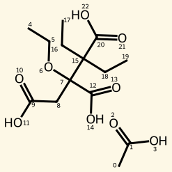 CC(=O)O.CCOC(CC(=O)O)(C(=O)O)C(CC)(CC)C(=O)O